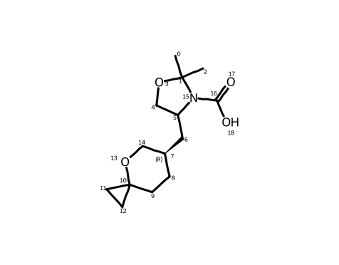 CC1(C)OCC(C[C@H]2CCC3(CC3)OC2)N1C(=O)O